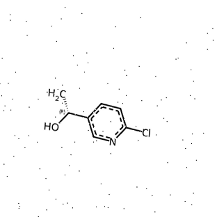 [CH2][C@@H](O)c1ccc(Cl)nc1